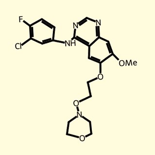 COc1cc2ncnc(Nc3ccc(F)c(Cl)c3)c2cc1OCCON1CCOCC1